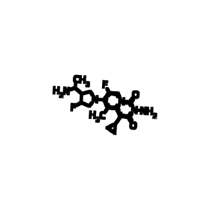 Cc1c(N2CC(F)C(C(C)N)C2)c(F)cn2c(=O)n(N)c(=O)c(C3CC3)c12